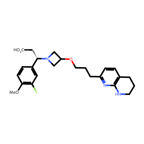 COc1ccc([C@H](CC(=O)O)N2CC(OCCCc3ccc4c(n3)NCCC4)C2)cc1F